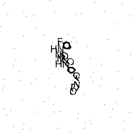 O=C(Nc1ccc(OCCN2CCOCC2)cc1)c1nnc(Nc2ccccc2F)o1